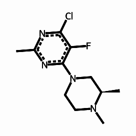 Cc1nc(Cl)c(F)c(N2CCN(C)[C@H](C)C2)n1